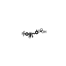 CCn1c(CCc2ccc(OCC(=O)O)c(C)c2)nn(-c2ccc(C(F)(F)F)cc2)c1=O